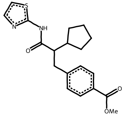 COC(=O)c1ccc(CC(C(=O)Nc2nccs2)C2CCCC2)cc1